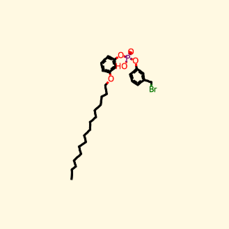 CCCCCCCCCCCCCCCCOc1cccc(OP(=O)(O)Oc2cccc(CBr)c2)c1